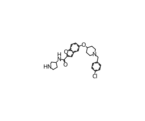 O=C(N[C@H]1CCNC1)c1cc2cc(OC3CCN(Cc4ccc(Cl)cc4)CC3)ccc2o1